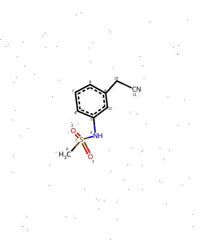 CS(=O)(=O)Nc1cccc(CC#N)c1